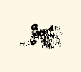 CC(C)C[C@@H](NC(=O)[C@@H](Cc1ccccc1)NC(=O)CNC[C@H](C)c1ccccc1)C(=O)N[C@H](CCCCN)C(=O)N1CCC(N)(C(=O)O)CC1.O=C(O)C(F)(F)F